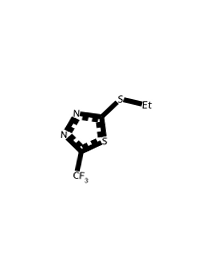 [CH2]CSc1nnc(C(F)(F)F)s1